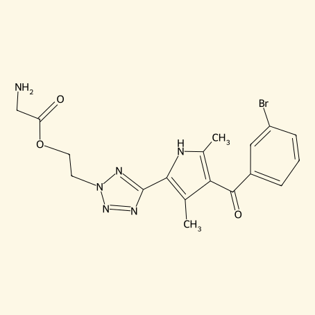 Cc1[nH]c(-c2nnn(CCOC(=O)CN)n2)c(C)c1C(=O)c1cccc(Br)c1